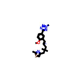 COc1ccc(-c2nnn(C)n2)cc1/C=C/CC(C)(C)Cc1csc(C)n1